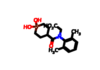 Cc1cccc(C)c1N(CC(=O)O)C(=O)C1CCS(O)(O)CC1